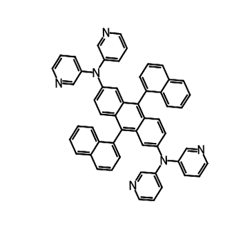 c1cncc(N(c2cccnc2)c2ccc3c(-c4cccc5ccccc45)c4cc(N(c5cccnc5)c5cccnc5)ccc4c(-c4cccc5ccccc45)c3c2)c1